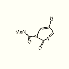 CNC(=O)n1cc(Cl)cnc1=O